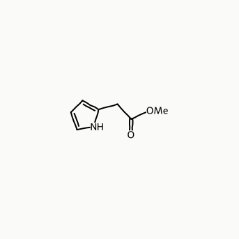 COC(=O)Cc1ccc[nH]1